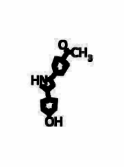 CC(=O)c1ccc(C2CC(c3ccc(O)cc3)=CN2)cc1